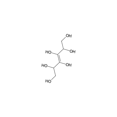 OCC(O)/C(O)=C(\O)C(O)CO